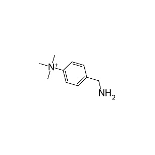 C[N+](C)(C)c1ccc(CN)cc1